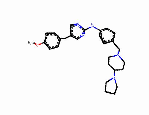 COc1ccc(-c2cnc(Nc3ccc(CN4CCC(N5CCCC5)CC4)cc3)nc2)cc1